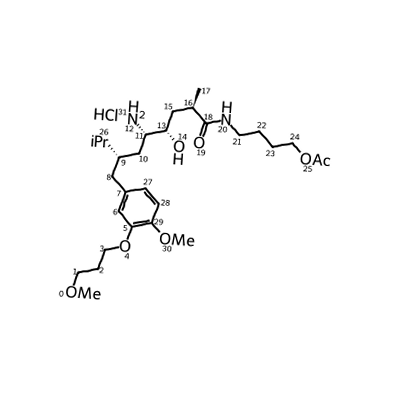 COCCCOc1cc(C[C@@H](C[C@H](N)[C@@H](O)C[C@@H](C)C(=O)NCCCCOC(C)=O)C(C)C)ccc1OC.Cl